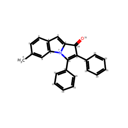 Cc1ccc2cc3n(c2c1)C(c1ccccc1)=C(c1ccccc1)C3=O